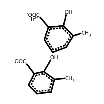 Cc1cccc(C(=O)[O-])c1O.Cc1cccc(C(=O)[O-])c1O.[Ti+2]